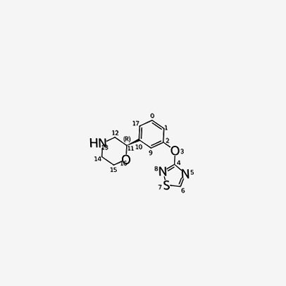 c1cc(Oc2ncsn2)cc([C@@H]2CNCCO2)c1